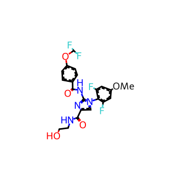 COc1cc(F)c(-n2cc(C(=O)NCCO)nc2NC(=O)c2ccc(OC(F)F)cc2)c(F)c1